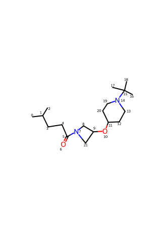 CC(C)CCC(=O)N1CC(OC2CCN(C(C)(C)C)CC2)C1